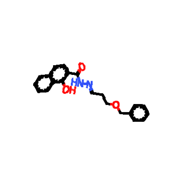 O=C(NN=CCCOCc1ccccc1)c1ccc2ccccc2c1O